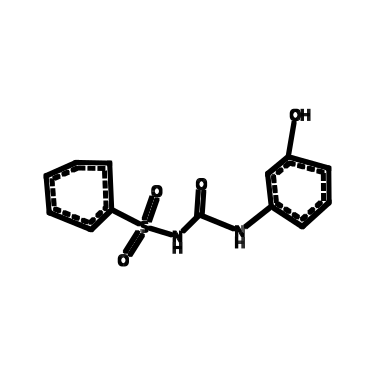 O=C(Nc1cccc(O)c1)NS(=O)(=O)c1ccccc1